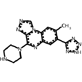 Cc1cc2c(cc1-c1nn[nH]n1)nc(N1CCNCC1)c1nncn12